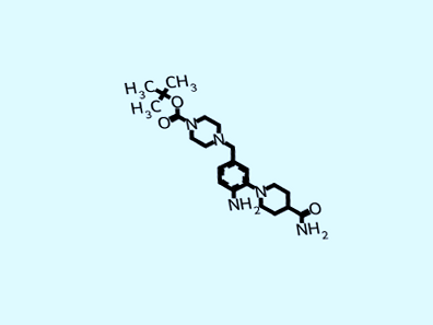 CC(C)(C)OC(=O)N1CCN(Cc2ccc(N)c(N3CCC(C(N)=O)CC3)c2)CC1